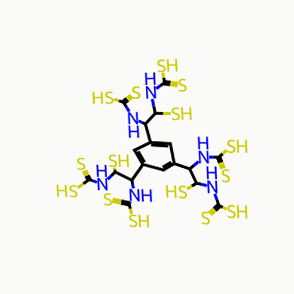 S=C(S)NC(S)C(NC(=S)S)c1cc(C(NC(=S)S)C(S)NC(=S)S)cc(C(NC(=S)S)C(S)NC(=S)S)c1